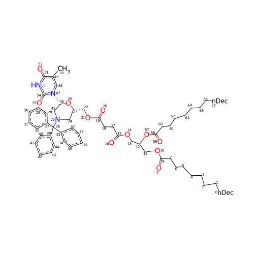 CCCCCCCCCCCCCCCCCC(=O)OCC(COC(=O)CCC(=O)OC[C@@H]1CN(C(c2ccccc2)(c2ccccc2)c2ccccc2)C[C@H](n2cc(C)c(=O)[nH]c2=O)O1)OC(=O)CCCCCCCCCCCCCCCCC